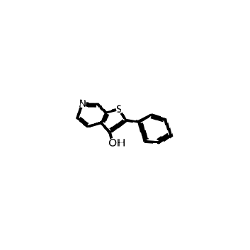 Oc1c(-c2ccccc2)sc2cnccc12